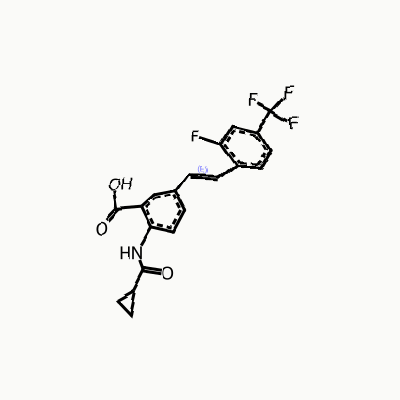 O=C(O)c1cc(/C=C/c2ccc(C(F)(F)F)cc2F)ccc1NC(=O)C1CC1